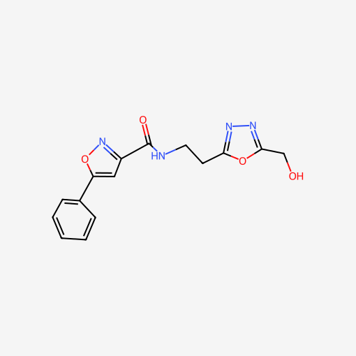 O=C(NCCc1nnc(CO)o1)c1cc(-c2ccccc2)on1